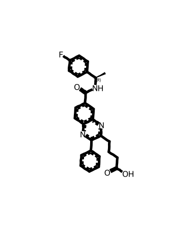 C[C@@H](NC(=O)c1ccc2nc(-c3ccccc3)c(CCCC(=O)O)nc2c1)c1ccc(F)cc1